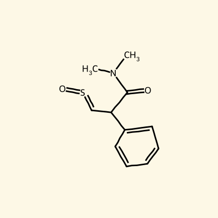 CN(C)C(=O)C(C=S=O)c1ccccc1